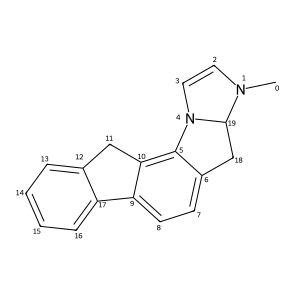 CN1C=CN2c3c(ccc4c3Cc3ccccc3-4)CC12